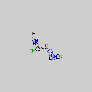 Cc1nnn(Cc2cc(Cl)ccc2/C=C/C(=O)N2CCN(CC3(N4CCOCC4)N=CC=CN3)CC2)n1